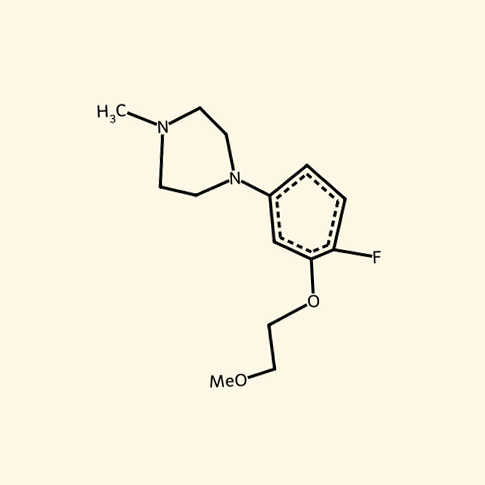 COCCOc1cc(N2CCN(C)CC2)ccc1F